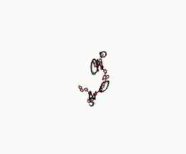 c1cc(-c2ccc(N(c3ccc(-c4ccc5oc6cc(-c7cccc8c(-c9cccc(-c%10ccc(N(c%11ccc(-c%12ccc%13oc%14ccccc%14c%13c%12)cc%11)c%11ccc%12oc%13ccccc%13c%12c%11)cc%10)c9)cccc78)ccc6c5c4)cc3)c3ccc4sc5ccccc5c4c3)cc2)cc(-c2cccc3ccccc23)c1